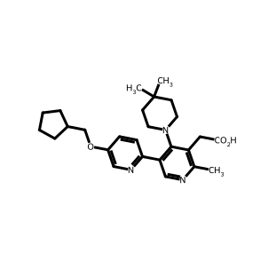 Cc1ncc(-c2ccc(OCC3CCCC3)cn2)c(N2CCC(C)(C)CC2)c1CC(=O)O